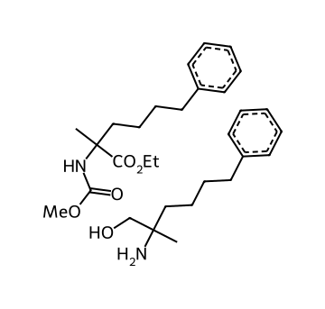 CC(N)(CO)CCCCc1ccccc1.CCOC(=O)C(C)(CCCCc1ccccc1)NC(=O)OC